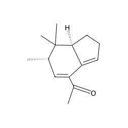 CC(=O)C1=C[C@H](C)C(C)(C)[C@H]2CCC=C12